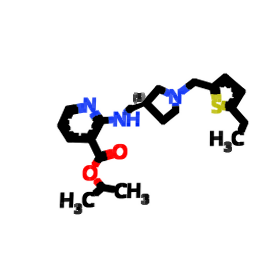 CCc1ccc(CN2CC[C@@H](CNc3ncccc3C(=O)OC(C)C)C2)s1